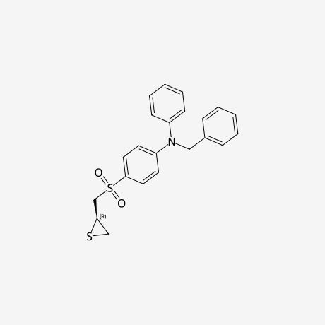 O=S(=O)(C[C@H]1CS1)c1ccc(N(Cc2ccccc2)c2ccccc2)cc1